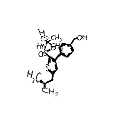 CC(C)Cc1cc(-c2ccc(CO)cc2)c(S(=O)(=O)NC(C)(C)C)s1